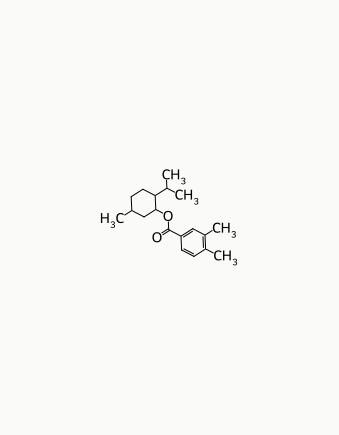 Cc1ccc(C(=O)OC2CC(C)CCC2C(C)C)cc1C